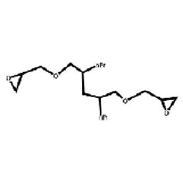 CCCC(COCC1CO1)CC(CCC)COCC1CO1